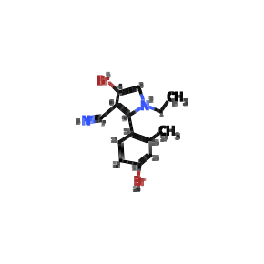 CCn1cc(Br)c(C#N)c1-c1ccc(Br)cc1C